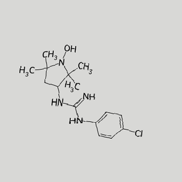 CC1(C)CC(NC(=N)Nc2ccc(Cl)cc2)C(C)(C)N1O